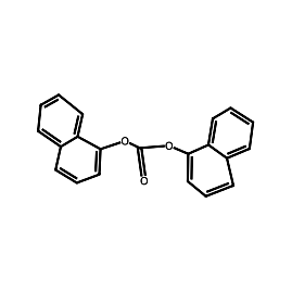 O=C(Oc1cccc2ccccc12)Oc1cccc2ccccc12